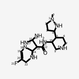 CN1CCC(C2CCNCC2NC(=O)C2C(N)NN3C=C(F)CNC23)N1